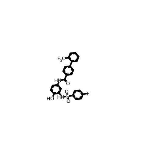 O=C(Nc1ccc(O)c(NS(=O)(=O)c2ccc(F)cc2)c1)c1ccc(-c2ccccc2C(F)(F)F)cc1